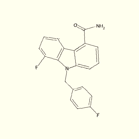 NC(=O)c1cccc2c1c1[c]ccc(F)c1n2Cc1ccc(F)cc1